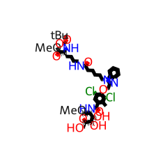 COC(=O)[C@H](CCCCNC(=O)CCCCCn1c(COc2c(Cl)cc(C(=O)N[C@H]3[C@@H](OC)O[C@H](CO)[C@@H](O)[C@@H]3O)c(C)c2Cl)nc2ccccc21)NC(=O)OC(C)(C)C